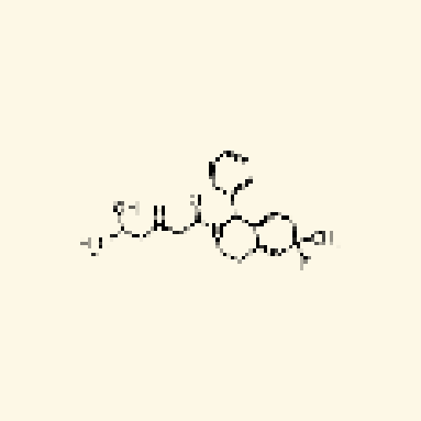 C[C@@H](O)CNCC(=O)N1CCC2=CC(C)(F)CC=C2[C@@H]1c1ccccc1